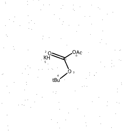 CC(=O)OC(=O)OC(C)(C)C.[KH]